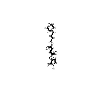 O=C(/C=C/C(=O)OC1CCNC1=O)OCCCCN1CCOCC1